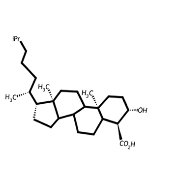 CC(C)CCC[C@@H](C)[C@H]1CCC2C3CCC4[C@H](C(=O)O)[C@@H](O)CC[C@]4(C)C3CC[C@@]21C